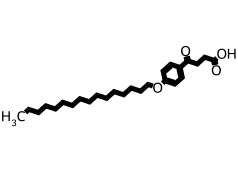 CCCCCCCCCCCCCCCCOc1ccc(C(=O)CCC(=O)O)cc1